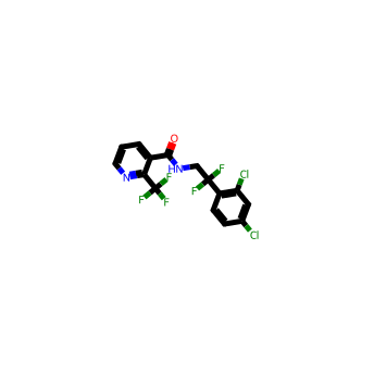 O=C(NCC(F)(F)c1ccc(Cl)cc1Cl)c1cccnc1C(F)(F)F